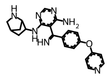 N=C(c1ccc(Oc2ccncc2)cc1)c1c(N)ncnc1NC1CC2CNC1C2